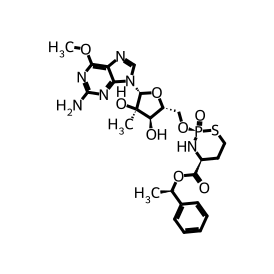 COc1nc(N)nc2c1ncn2[C@@H]1O[C@H](CO[P@]2(=O)N[C@H](C(=O)O[C@H](C)c3ccccc3)CCS2)[C@@H](O)[C@@]1(C)O